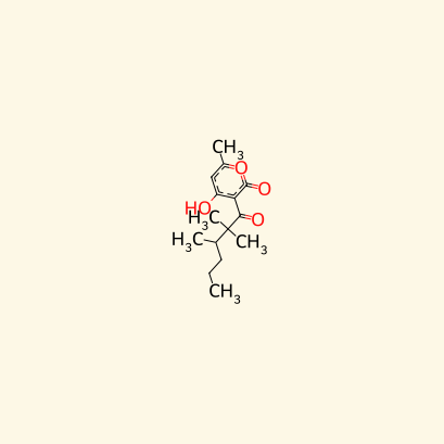 CCCC(C)C(C)(C)C(=O)c1c(O)cc(C)oc1=O